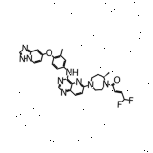 Cc1cc(Nc2ncnc3ccc(N4CC[C@@H](C)N(C(=O)/C=C/C(F)F)CC4)nc23)ccc1Oc1ccn2ncnc2c1